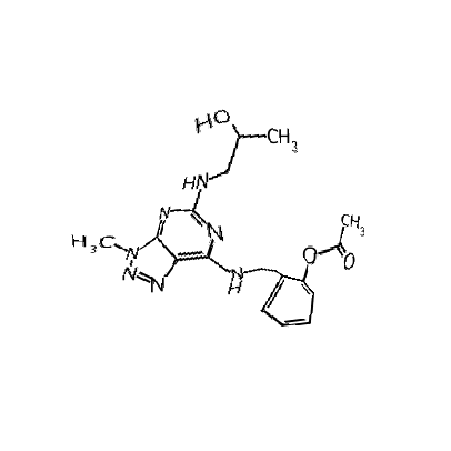 CC(=O)Oc1ccccc1CNc1nc(NCC(C)O)nc2c1nnn2C